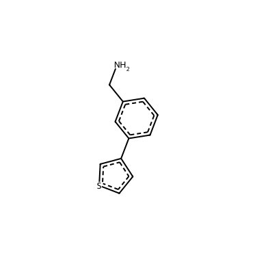 NCc1cccc(-c2ccsc2)c1